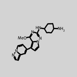 COc1nc(NC2CCC(N)CC2)nn2ccc(-c3ccn4nccc4c3)c12